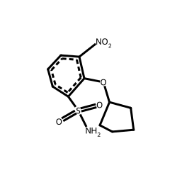 NS(=O)(=O)c1cccc([N+](=O)[O-])c1OC1CCCC1